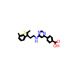 Cc1sc2c(C)cccc2c1CCNc1cc(-c2ccc(C(=O)O)cc2)ncn1